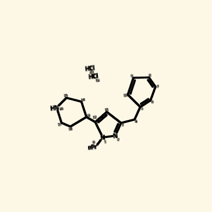 CCCn1nc(Cc2ccccc2)cc1C1CCNCC1.Cl.Cl